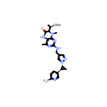 CO[C@H](C)C1C(=O)Nc2c(C)nc(NCc3cnn([C@@H]4C[C@H]4c4ccc(C(F)(F)F)nc4)c3)nc2N1C